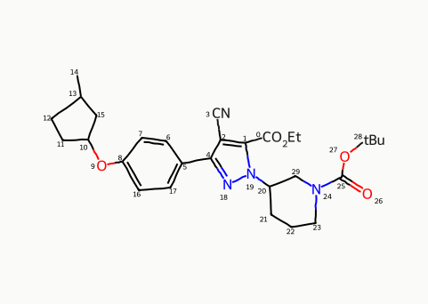 CCOC(=O)c1c(C#N)c(-c2ccc(OC3CCC(C)C3)cc2)nn1C1CCCN(C(=O)OC(C)(C)C)C1